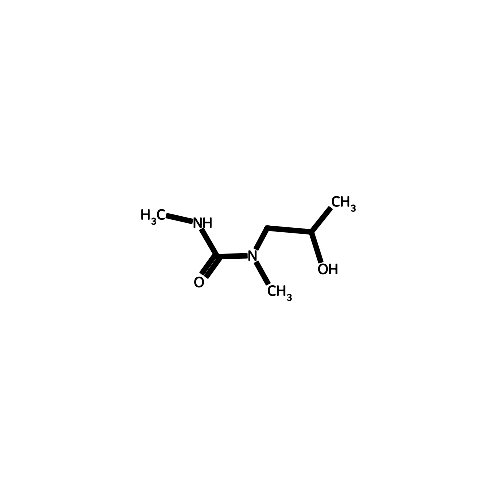 CNC(=O)N(C)CC(C)O